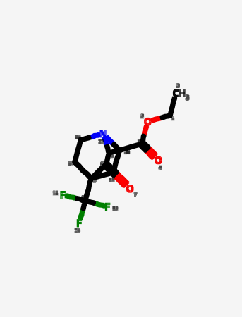 CCOC(=O)C1C(=O)C2(C(F)(F)F)CCN1CC2